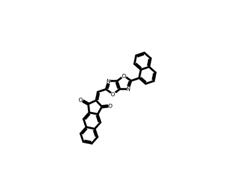 O=C1C(=Cc2nc3oc(-c4cccc5ccccc45)nc3o2)C(=O)c2cc3ccccc3cc21